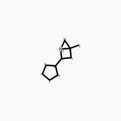 CC12CC(C3CCCC3)N1C2